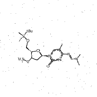 CN(C)/C=N/c1nc(=O)n([C@H]2CC(ON)[C@@H](CO[Si](C)(C)C(C)(C)C)O2)cc1I